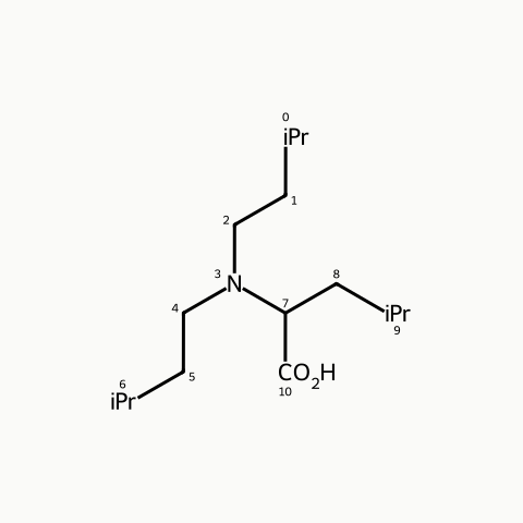 CC(C)CCN(CCC(C)C)C(CC(C)C)C(=O)O